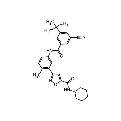 Cc1ccc(NC(=O)c2cc(C#N)cc(C(C)(C)C)c2)cc1-c1cc(C(=O)NN2CCCCC2)on1